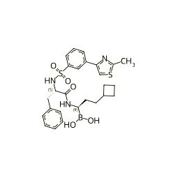 Cc1nc(-c2cccc(S(=O)(=O)N[C@@H](Cc3ccccc3)C(=O)N[C@@H](CCC3CCC3)B(O)O)c2)cs1